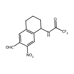 O=Cc1cc2c(cc1[N+](=O)[O-])C(NC(=O)C(F)(F)F)CCC2